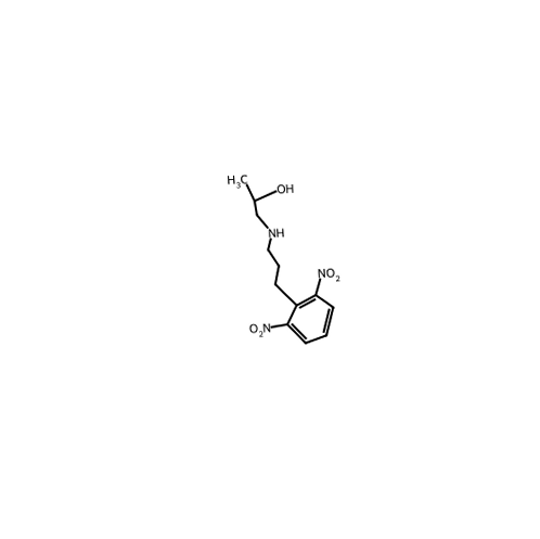 CC(O)CNCCCc1c([N+](=O)[O-])cccc1[N+](=O)[O-]